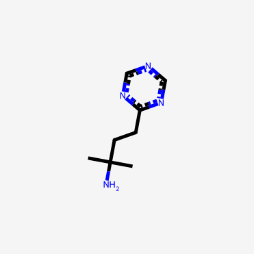 CC(C)(N)CCc1ncncn1